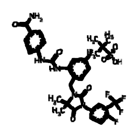 CC(C)(C)S(=O)(=O)O.CC1(C)C(=O)N(c2ccc(F)c(C(F)(F)F)c2)C(=O)N1Cc1ccc(F)cc1NC(=O)Nc1ccc(C(N)=O)cc1